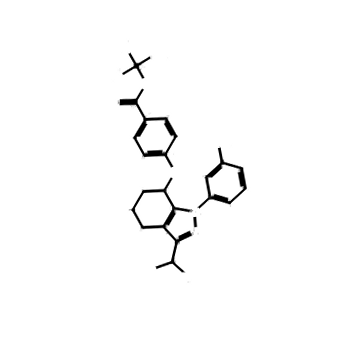 Cc1cccc(-n2nc(C(F)F)c3c2C(Oc2ccc(C(=O)OC(C)(C)C)cc2)CCC3)c1